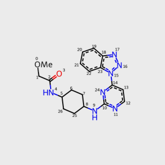 COCC(=O)NC1CCC(Nc2nccc(-n3nnc4ccccc43)n2)CC1